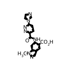 Cn1ncc2cc(C(=O)O)c(NC(=O)c3ccc(-n4ccnc4)nn3)cc21